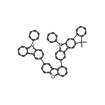 CC1(C)c2ccccc2-c2cc3c(cc21)c1cc(-c2cccc4oc5ccc(-c6ccc7c(c6)c6ccccc6n7-c6ccccc6)cc5c24)ccc1n3-c1ccccc1